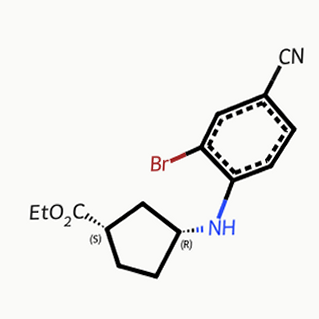 CCOC(=O)[C@H]1CC[C@@H](Nc2ccc(C#N)cc2Br)C1